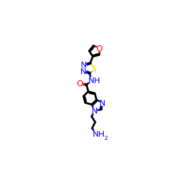 NCCCn1cnc2cc(C(=O)Nc3nnc(-c4ccoc4)s3)ccc21